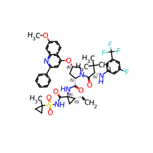 C=C[C@@H]1C[C@]1(NC(=O)[C@@H]1C[C@@H](Oc2cc(-c3ccccc3)nc3cc(OC)ccc23)CN1C(=O)[C@@H](Nc1cc(F)cc(C(F)(F)F)c1)C(C)(C)C)C(=O)NS(=O)(=O)C1(C)CC1